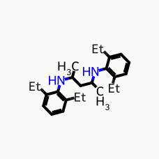 CCc1cccc(CC)c1NC(C)CC(C)Nc1c(CC)cccc1CC